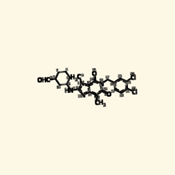 Cn1c(NC2CCC[C@H](C=O)C2)nc2c1c(=O)n(Cc1ccc(Cl)c(Cl)c1)c(=O)n2C